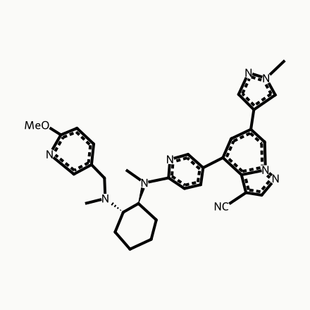 COc1ccc(CN(C)[C@H]2CCCC[C@@H]2N(C)c2ccc(-c3cc(-c4cnn(C)c4)cn4ncc(C#N)c34)cn2)cn1